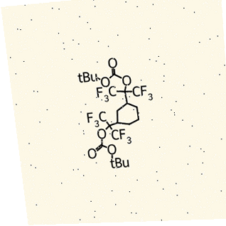 CC(C)(C)OC(=O)OC(C1CCCC(C(OC(=O)OC(C)(C)C)(C(F)(F)F)C(F)(F)F)C1)(C(F)(F)F)C(F)(F)F